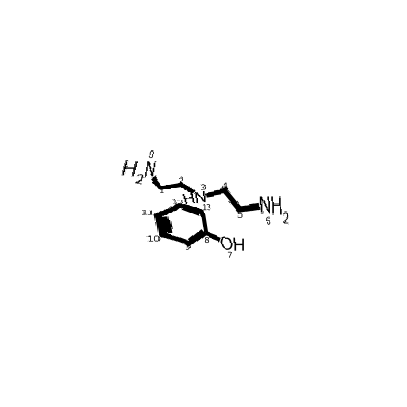 NCCNCCN.Oc1ccccc1